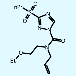 C=CCN(CCOCC)C(=O)n1cnc(S(=O)(=O)CCC)n1